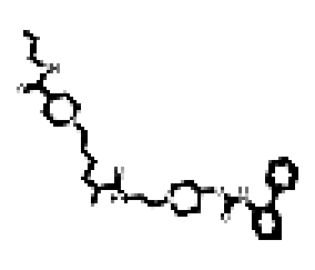 CCCNC(=O)C1CCN(CCCCC(C)C(=O)NCCN2CCC(OC(=O)Nc3ccccc3-c3ccccc3)CC2)CC1